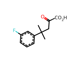 CC(C)(CC(=O)C(=O)O)c1cccc(F)c1